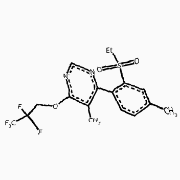 CCS(=O)(=O)c1cc(C)ccc1-c1ncnc(OCC(F)(F)C(F)(F)F)c1C